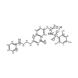 Cc1cc(C)c(S(=O)(=O)N[C@@H](Cc2ccc3oc(CCCNc4ccccn4)cc(=O)c3c2)C(=O)O)c(C)c1